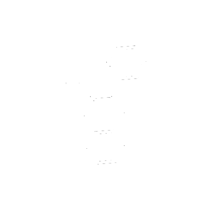 O=[C]N(Cc1ccccc1)C(=O)c1ccccn1